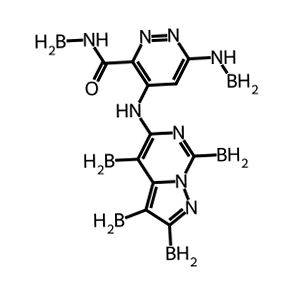 BNC(=O)c1nnc(NB)cc1Nc1nc(B)n2nc(B)c(B)c2c1B